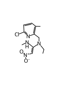 CCN(Cc1nc(Cl)ccc1C)C(=C[N+](=O)[O-])NC